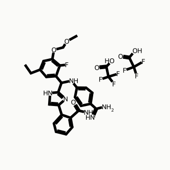 CCc1cc(OCOC)c(F)c(C(Nc2ccc(C(=N)N)cc2)c2nc(-c3ccccc3C(N)=O)c[nH]2)c1.O=C(O)C(F)(F)F.O=C(O)C(F)(F)F